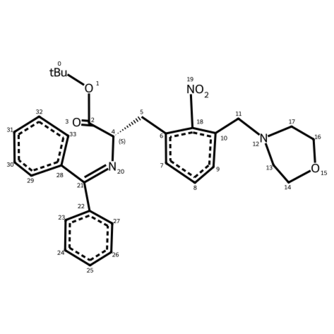 CC(C)(C)OC(=O)[C@H](Cc1cccc(CN2CCOCC2)c1[N+](=O)[O-])N=C(c1ccccc1)c1ccccc1